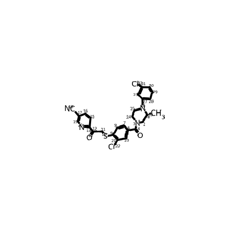 C[C@H]1CN(C(=O)c2ccc(SCC(=O)c3ccc(C#N)cn3)c(Cl)c2)CCN1c1cccc(Cl)c1